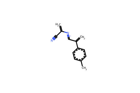 C=C(C#N)/N=C/C(=C)c1ccc(C)cc1